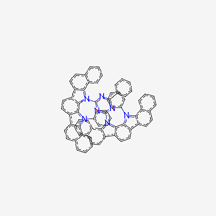 c1ccc(-c2nc(-n3c4c5ccccc5ccc4c4ccc5c6ccc7ccccc7c6n(-c6ccccc6)c5c43)nc(-n3c4c5ccccc5ccc4c4ccc5c6ccc7ccccc7c6n(-c6ccccc6)c5c43)n2)cc1